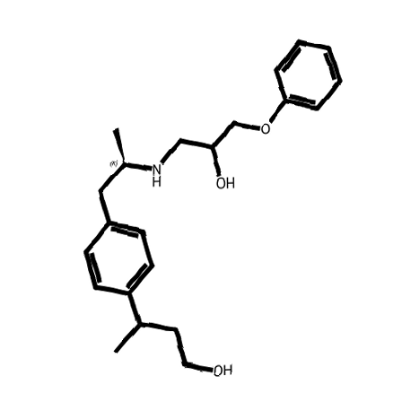 CC(CCO)c1ccc(C[C@@H](C)NCC(O)COc2ccccc2)cc1